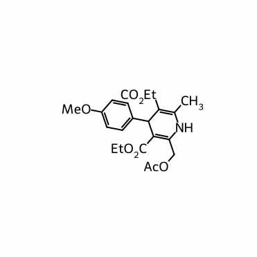 CCOC(=O)C1=C(C)NC(COC(C)=O)=C(C(=O)OCC)C1c1ccc(OC)cc1